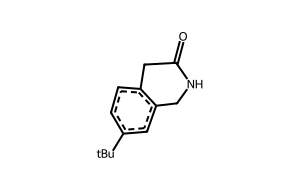 CC(C)(C)c1ccc2c(c1)CNC(=O)C2